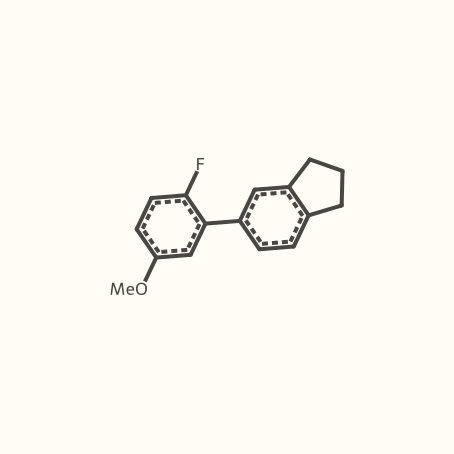 COc1ccc(F)c(-c2ccc3c(c2)CCC3)c1